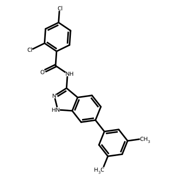 Cc1cc(C)cc(-c2ccc3c(NC(=O)c4ccc(Cl)cc4Cl)n[nH]c3c2)c1